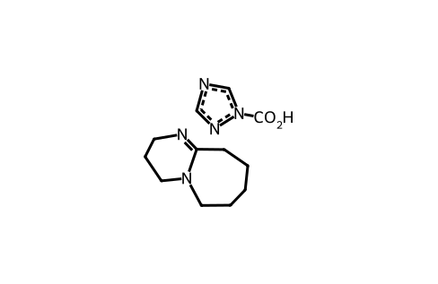 C1CCC2=NCCCN2CC1.O=C(O)n1cncn1